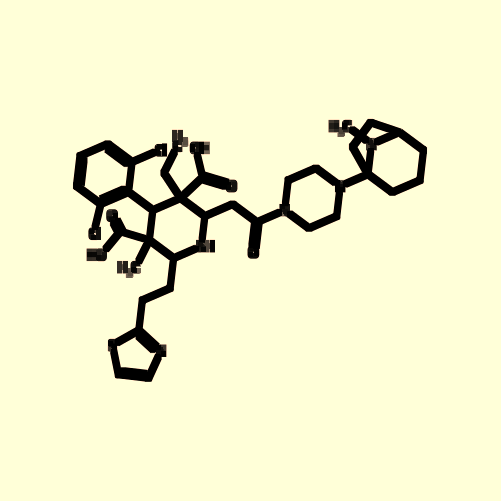 CCC1(C(=O)O)C(CC(=O)N2CCN(C34CCCC(CC3)N4C)CC2)NC(CCc2nccs2)C(C)(C(=O)O)C1c1c(Cl)cccc1Cl